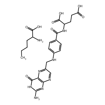 CCCCC(N)C(=O)O.Nc1nc2ncc(CNc3ccc(C(=O)NC(CCC(=O)O)C(=O)O)cc3)nc2c(=O)[nH]1